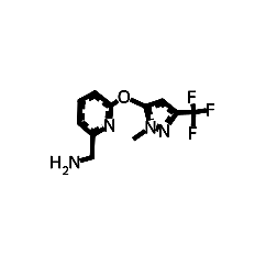 Cn1nc(C(F)(F)F)cc1Oc1cccc(CN)n1